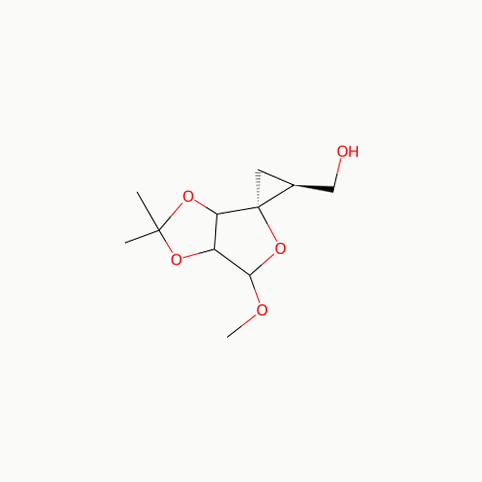 COC1O[C@@]2(C[C@H]2CO)C2OC(C)(C)OC12